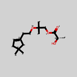 C[C@H](O)C(=O)OCC(C)(C)OCCC1=CCC(C)(C)C1